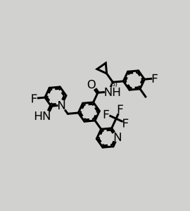 Cc1cc([C@@H](NC(=O)c2cc(Cn3cccc(F)c3=N)cc(-c3cccnc3C(F)(F)F)c2)C2CC2)ccc1F